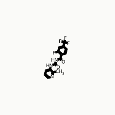 Cc1ncccc1NC(=O)NC(=O)c1ccc(C(F)(F)F)cc1F